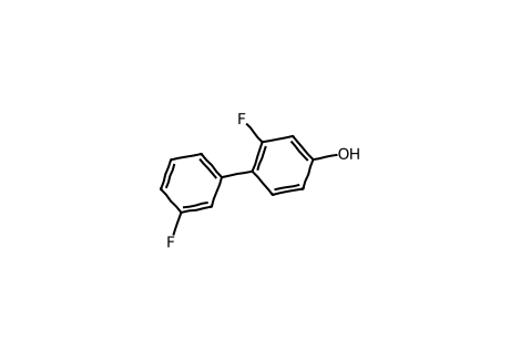 Oc1ccc(-c2cccc(F)c2)c(F)c1